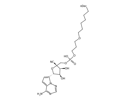 CCCCCCCCCCCCCCCCOCCCOP(=O)(O)OC[C@@]1(C#N)O[C@@H](c2ccc3c(N)ncnn23)[C@H](O)[C@@H]1O